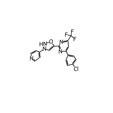 FC(F)(F)c1cc(-c2ccc(Cl)cc2)nc(C2=CN(c3ccncc3)NO2)n1